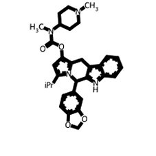 CC(C)c1cc(OC(=O)N(C)C2CCN(C)CC2)c2n1C(c1ccc3c(c1)OCO3)c1[nH]c3ccccc3c1C2